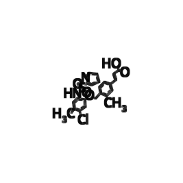 Cc1cc(NS(=O)(=O)c2ccccn2)c(OCc2ccc(C=CC(=O)O)cc2C)cc1Cl